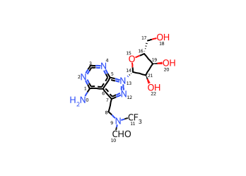 Nc1ncnc2c1c(CN(C=O)C(F)(F)F)nn2[C@@H]1O[C@H](CO)[C@@H](O)[C@H]1O